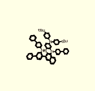 CC(C)(C)c1ccc(N(c2ccc(C(C)(C)C)cc2)c2ccc3c(c2)N(c2ccc(-c4ccccc4)cc2)c2c4c(cc5ccccc25)-c2ccc(-c5ccccc5)cc2N(c2ccc(-c5ccccc5)cc2)B34)cc1